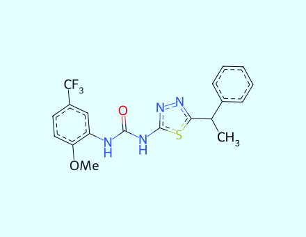 COc1ccc(C(F)(F)F)cc1NC(=O)Nc1nnc(C(C)c2ccccc2)s1